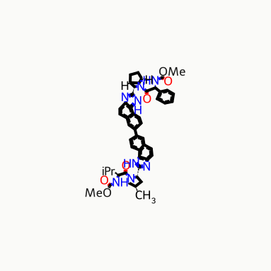 COC(=O)N[C@H](C(=O)N1C[C@@H](C)C[C@H]1c1nc2ccc3cc(-c4ccc5c(ccc6nc([C@@H]7[C@H]8CC[C@H](C8)N7C(=O)[C@H](NC(=O)OC)c7ccccc7)[nH]c65)c4)ccc3c2[nH]1)C(C)C